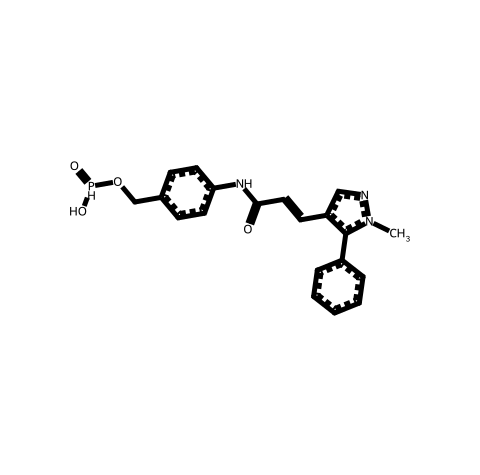 Cn1ncc(/C=C/C(=O)Nc2ccc(CO[PH](=O)O)cc2)c1-c1ccccc1